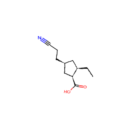 CC[C@@H]1C[C@H](CCC#N)C[C@@H]1C(=O)O